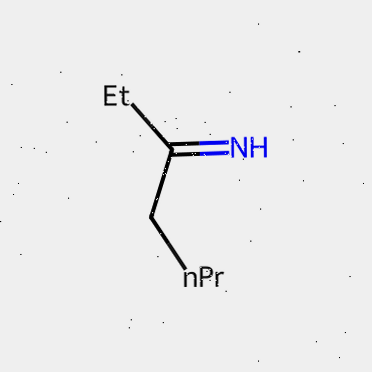 CCCCC(=N)CC